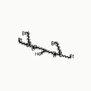 CC/C=C\CCCCCOC(CCC(=O)OCCCCCCN(CCCO)CCCCCCOC(=O)CCC(OCCCCC/C=C\CC)OCCCCC/C=C\CC)OCCCCC/C=C\CC